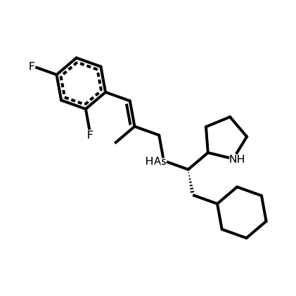 C/C(=C\c1ccc(F)cc1F)C[AsH][C@@H](CC1CCCCC1)C1CCCN1